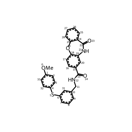 COc1ccc(Sc2cccc(CNC(=O)c3ccc4c(c3)NC(=O)c3ccccc3O4)c2)cc1